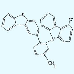 Cc1ccc(-c2ccc3sc4ccccc4c3c2)c(-n2c3ccccc3c3c(Cl)cccc32)c1